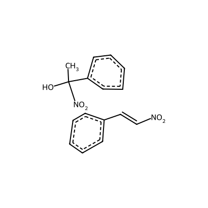 CC(O)(c1ccccc1)[N+](=O)[O-].O=[N+]([O-])C=Cc1ccccc1